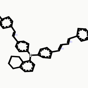 Cc1ccc(/C=C/c2ccc(N(c3ccc(/C=C/C=C/c4ccccc4)cc3)c3cccc4c3CCCC4)cc2)cc1